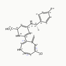 C=C1/N=C(Cl)\C=N/N/C=C\1C1=NC(N[C@@H](C)c2ccc(F)cc2)=CC(C(=O)O)N1